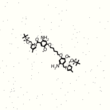 COc1cc(CN2C=C(C)C[C@H]2CO[Si](C)(C)C(C)(C)C)c(N)cc1OCCCCCOc1cc(N)c(C(=O)N2C=C(C)C[C@H]2CO[Si](C)(C)C(C)(C)C)cc1OC